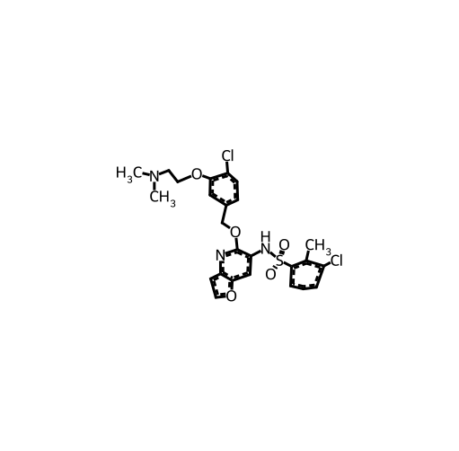 Cc1c(Cl)cccc1S(=O)(=O)Nc1cc2occc2nc1OCc1ccc(Cl)c(OCCN(C)C)c1